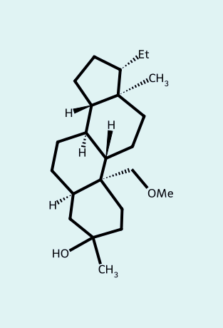 CC[C@H]1CC[C@H]2[C@@H]3CC[C@@H]4CC(C)(O)CC[C@]4(COC)[C@H]3CC[C@]12C